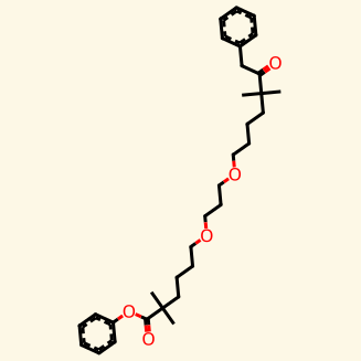 CC(C)(CCCCOCCCOCCCCC(C)(C)C(=O)Oc1ccccc1)C(=O)Cc1ccccc1